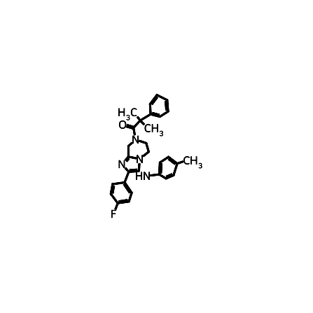 Cc1ccc(Nc2c(-c3ccc(F)cc3)nc3n2CCN(C(=O)C(C)(C)c2ccccc2)C3)cc1